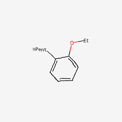 [CH2]COc1ccccc1CCCCC